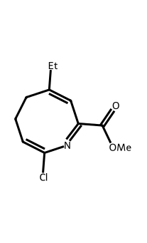 CC/C1=C/C(C(=O)OC)=N\C(Cl)=C/CC1